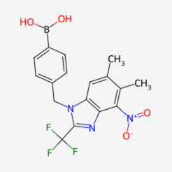 Cc1cc2c(nc(C(F)(F)F)n2Cc2ccc(B(O)O)cc2)c([N+](=O)[O-])c1C